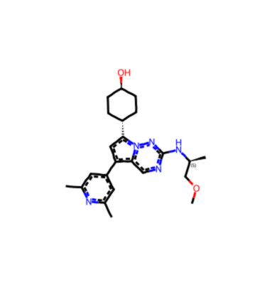 COC[C@H](C)Nc1ncc2c(-c3cc(C)nc(C)c3)cc([C@H]3CC[C@H](O)CC3)n2n1